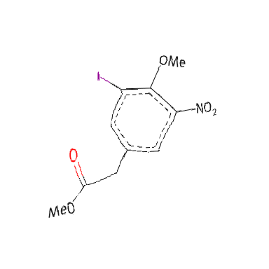 COC(=O)Cc1cc(I)c(OC)c([N+](=O)[O-])c1